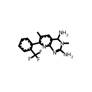 Cc1cc2c(nc1-c1ccccc1C(F)(F)F)N=C(N)N(C)C2N